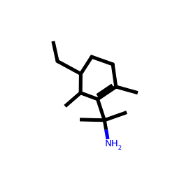 CCC1CCC(C)=C(C(C)(C)N)C1C